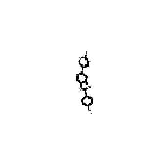 Fc1ccc(-c2ccc3oc(-c4ccc(Cl)cc4)nc3c2)cn1